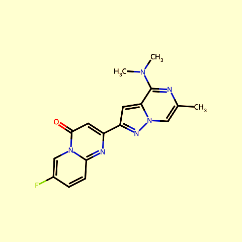 Cc1cn2nc(-c3cc(=O)n4cc(F)ccc4n3)cc2c(N(C)C)n1